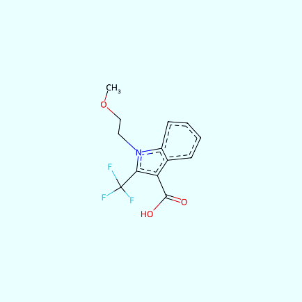 COCCn1c(C(F)(F)F)c(C(=O)O)c2ccccc21